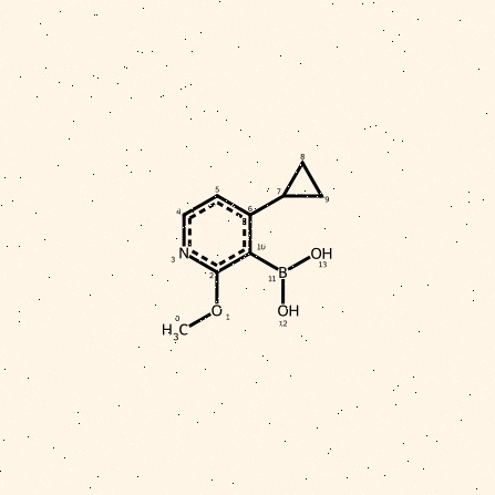 COc1nccc(C2CC2)c1B(O)O